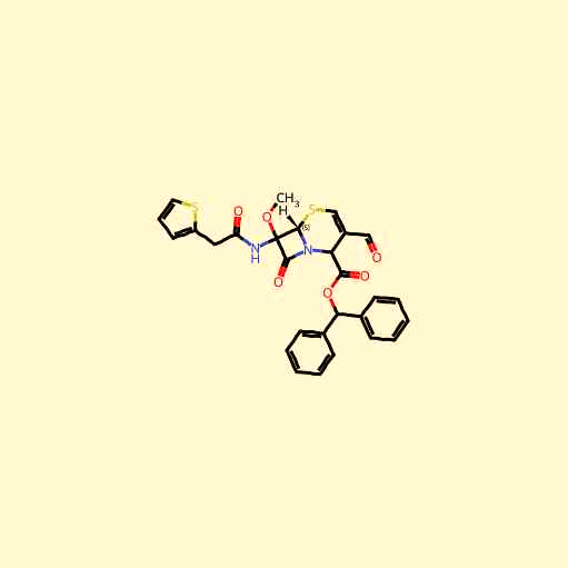 COC1(NC(=O)Cc2cccs2)C(=O)N2C(C(=O)OC(c3ccccc3)c3ccccc3)C(C=O)=CS[C@H]21